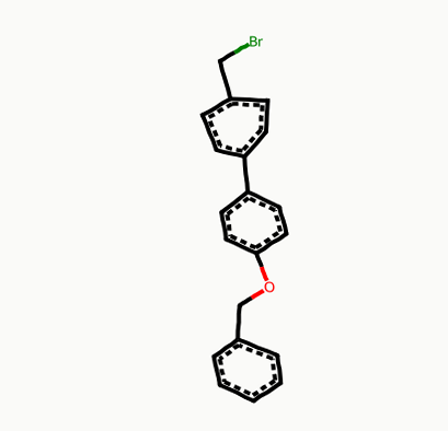 BrCc1ccc(-c2ccc(OCc3ccccc3)cc2)cc1